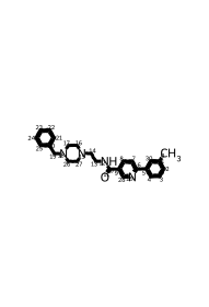 Cc1cccc(-c2ccc(C(=O)NCCN3CCN(Cc4ccccc4)CC3)cn2)c1